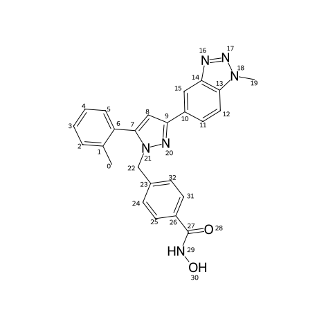 Cc1ccccc1-c1cc(-c2ccc3c(c2)nnn3C)nn1Cc1ccc(C(=O)NO)cc1